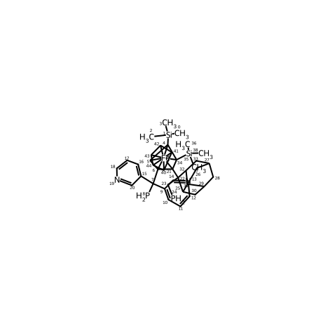 C[Si](C)(C)[C]12[CH]3[C]4(C(P)(c5cccnc5)c5cccnc5)[C]5(C6(CP)C7CC8CC(C7)CC6C8)[C]1([Si](C)(C)C)[Fe]34521678[CH]2[CH]1[CH]6[CH]7[CH]28